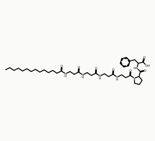 CCCCCCCCCCCCCC(=O)NCCC(=O)NCCC(=O)NCCC(=O)NCCC(=O)N1CCCC1C(=O)NC(Cc1ccccc1)C(=O)O